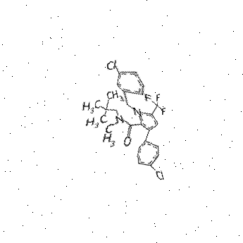 CN(CC(C)(C)C)C(=O)c1c(-c2ccc(Cl)cc2)cc(C(F)(F)F)n1Cc1cccc(Cl)c1